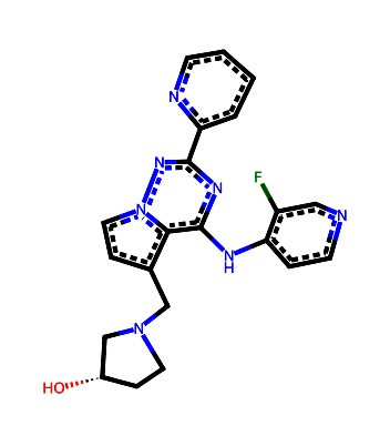 O[C@H]1CCN(Cc2ccn3nc(-c4ccccn4)nc(Nc4ccncc4F)c23)C1